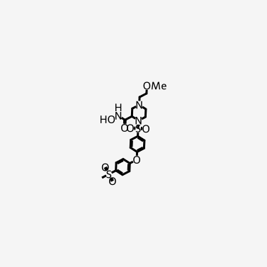 COCCN1CCN(S(=O)(=O)c2ccc(Oc3ccc(S(C)(=O)=O)cc3)cc2)C(C(=O)NO)C1